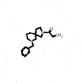 C=CC(=O)N1CCC2(CCCN(Cc3ccccc3)C2)C1